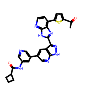 CC(=O)c1ccc(-c2ccnc3[nH]c(-c4n[nH]c5ncc(-c6cncc(NC(=O)C7CCC7)c6)cc45)nc23)s1